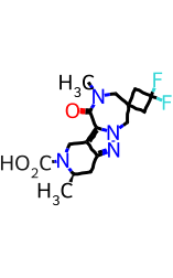 C[C@@H]1Cc2nn3c(c2CN1C(=O)O)C(=O)N(C)CC1(C3)CC(F)(F)C1